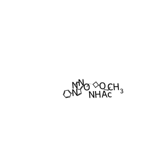 CC(=O)N[C@@H](C)CO[C@H]1C[C@H](COc2ncnc3c2ccn3-c2ccccc2)C1